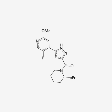 CCCC1CCCCN1C(=O)c1cc(-c2cc(OC)ncc2F)[nH]n1